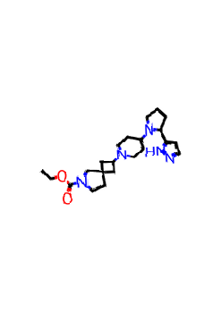 CCOC(=O)N1CCC2(CC(N3CCC(N4CCCC4c4ccn[nH]4)CC3)C2)C1